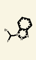 FC(Br)n1nnc2ccccc21